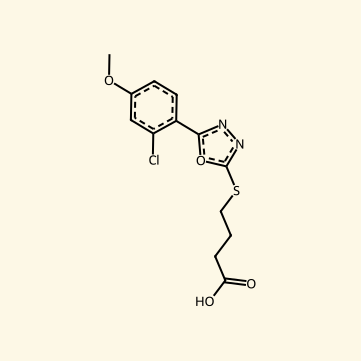 COc1ccc(-c2nnc(SCCCC(=O)O)o2)c(Cl)c1